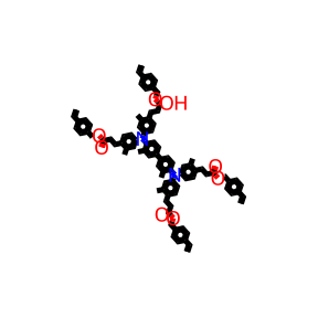 C=Cc1ccc(COC(=O)CCc2ccc(N(c3ccc(CCC(=O)OCc4ccc(C=C)cc4)c(C)c3)c3ccc(-c4ccc(N(c5ccc(CCC(=O)OCc6ccc(C=C)cc6)c(C)c5)c5ccc(CCC(O)OCc6ccc(C=C)cc6)c(C)c5)c(C)c4)cc3C)cc2C)cc1